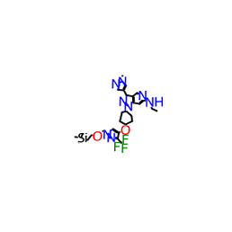 CCNc1cc2c(cn1)c(-c1cnn(C)c1)nn2C1CCC(Oc2cn(COCC[Si](C)(C)C)nc2C(F)(F)F)CC1